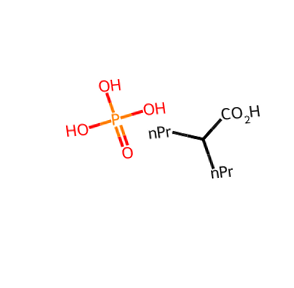 CCCC(CCC)C(=O)O.O=P(O)(O)O